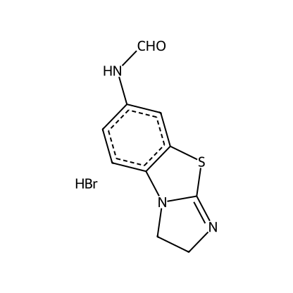 Br.O=CNc1ccc2c(c1)SC1=NCCN12